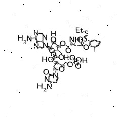 CCSSc1cccc(C)c1OC(=O)C[C@H](N)C(=O)O[C@@H]1C(COP(=O)(O)[C@H]2C[C@H](n3ccc(N)nc3=O)O[C@@H]2COP(=O)(O)O)O[C@@H](n2cnc3c(N)ncnc32)[C@@H]1O